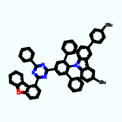 CC(C)(C)c1ccc(-c2ccc3c(c2)c2cc(C(C)(C)C)ccc2n3-c2c(-c3ccccc3)cc(-c3nc(-c4ccccc4)nc(-c4cccc5oc6ccccc6c45)n3)cc2-c2ccccc2)cc1